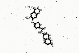 N#Cc1cc2c(cc1Oc1ccc(C(=O)Nc3ncc4cc(Cl)ccc4n3)cc1)OCCC2C(=O)O